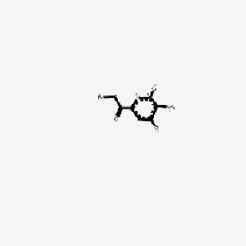 Nc1c(Cl)cc(C(=O)CBr)nc1Cl